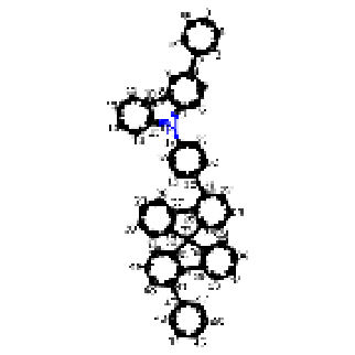 c1ccc(-c2ccc3c(c2)c2ccccc2n3-c2ccc(-c3cccc4c3-c3ccccc3C43c4ccccc4-c4c(-c5ccccc5)cccc43)cc2)cc1